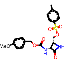 COc1ccc(COC(=O)N[C@H]2C(=O)N[C@H]2COS(=O)(=O)c2ccc(C)cc2)cc1